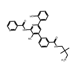 CC(C)(CN)CNC(=O)c1cccc(-c2cc(-c3ccccc3O)nc(NC(=O)c3cccnc3)c2C#N)c1